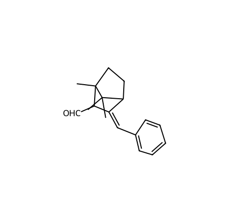 CC1(C)C2CCC1(C)C(C=O)C2=Cc1ccccc1